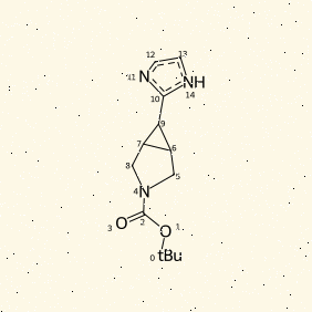 CC(C)(C)OC(=O)N1CC2C(C1)C2c1ncc[nH]1